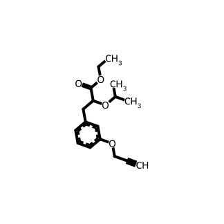 C#CCOc1cccc(CC(OC(C)C)C(=O)OCC)c1